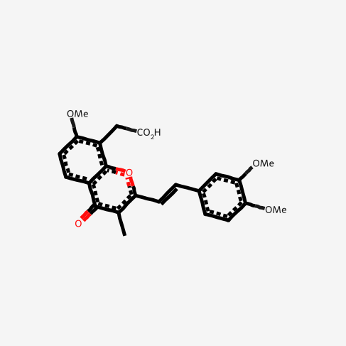 COc1ccc(/C=C/c2oc3c(CC(=O)O)c(OC)ccc3c(=O)c2C)cc1OC